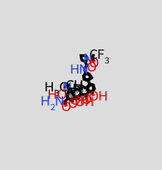 CN(C)[C@@H]1C(O)=C(C(N)=O)C(=O)[C@@]2(O)C(O)=C3C(=O)c4c(O)ccc(-c5ccc(NC(=O)C6CCCN6C(=O)C(F)(F)F)cc5)c4C[C@H]3C[C@@H]12